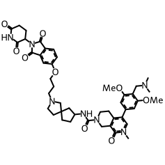 COc1cc(-c2cn(C)c(=O)c3c2CCN(C(=O)NC2CCC4(CCN(CCCOc5ccc6c(c5)C(=O)N(C5CCC(=O)NC5=O)C6=O)C4)C2)C3)cc(OC)c1CN(C)C